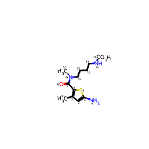 Cc1cc(N)sc1C(=O)N(C)CCCCNC(=O)O